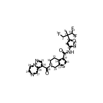 CC(CF)(c1cc(NC(=O)c2csc3c2CCN(C(=O)c2cnn4ccncc24)C3)no1)C(F)F